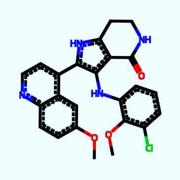 COc1ccc2nccc(-c3[nH]c4c(c3Nc3cccc(Cl)c3OC)C(=O)NCC4)c2c1